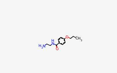 CCCOc1ccc(C(=O)NCCN)cc1